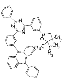 CC1(C)CB(c2cccc(-c3nc(-c4ccccc4)nc(-c4cccc(-c5c6ccccc6c(-c6ccccc6)c6ccccc56)c4)n3)c2)OC1(C)C